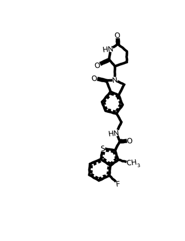 Cc1c(C(=O)NCc2ccc3c(c2)CN(C2CCC(=O)NC2=O)C3=O)sc2cccc(F)c12